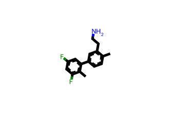 Cc1ccc(-c2cc(F)cc(F)c2C)cc1CCN